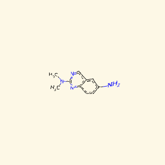 CN(C)c1ncc2cc(N)ccc2n1